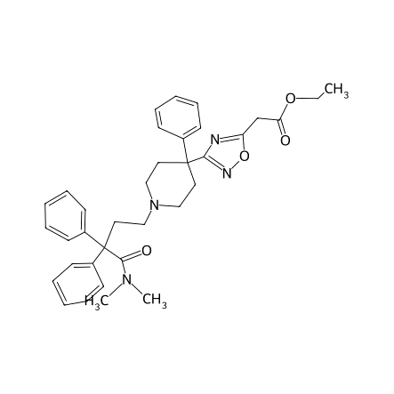 CCOC(=O)Cc1nc(C2(c3ccccc3)CCN(CCC(C(=O)N(C)C)(c3ccccc3)c3ccccc3)CC2)no1